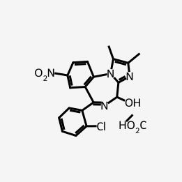 CC(=O)O.Cc1nc2n(c1C)-c1ccc([N+](=O)[O-])cc1C(c1ccccc1Cl)=NC2O